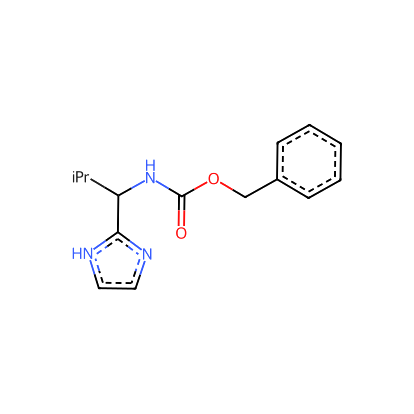 CC(C)C(NC(=O)OCc1ccccc1)c1ncc[nH]1